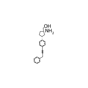 N[C@@]1(CO)CC[C@@H](c2ccc(C#CCc3ccccc3)cc2)C1